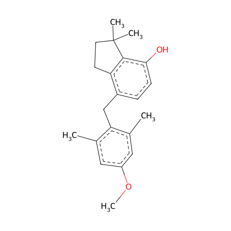 COc1cc(C)c(Cc2ccc(O)c3c2CCC3(C)C)c(C)c1